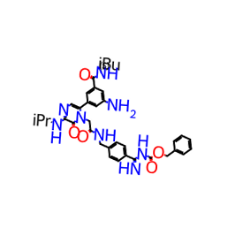 CC[C@H](C)NC(=O)c1cc(N)cc(-c2cnc(NC(C)C)c(=O)n2CC(=O)NCc2ccc(C(=N)NC(=O)OCc3ccccc3)cc2)c1